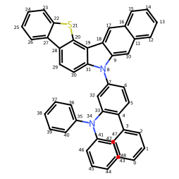 c1ccc(-c2ccc(-n3c4cc5ccccc5cc4c4c5sc6ccccc6c5ccc43)cc2N(c2ccccc2)c2ccccc2)cc1